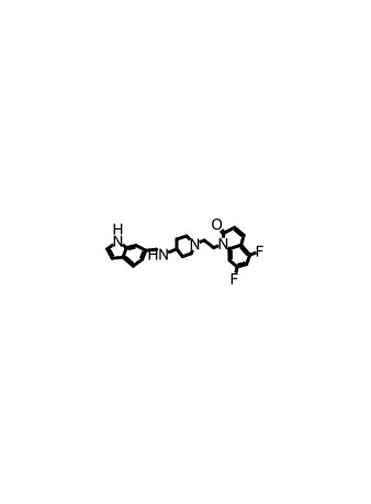 O=c1ccc2c(F)cc(F)cc2n1CCN1CCC(NCc2ccc3cc[nH]c3c2)CC1